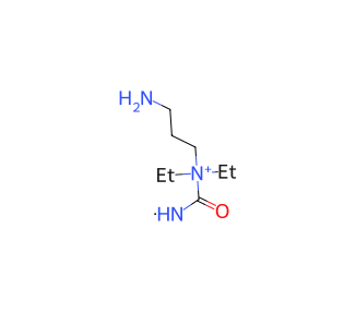 CC[N+](CC)(CCCN)C([NH])=O